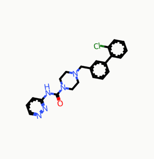 O=C(Nc1cccnn1)N1CCN(Cc2cccc(-c3ccccc3Cl)c2)CC1